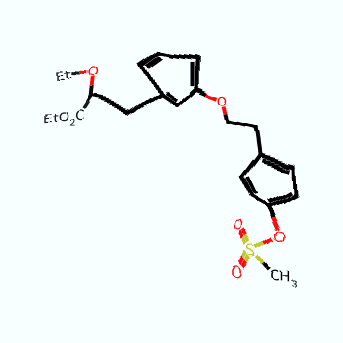 CCOC(=O)C(Cc1cccc(OCCc2ccc(OS(C)(=O)=O)cc2)c1)OCC